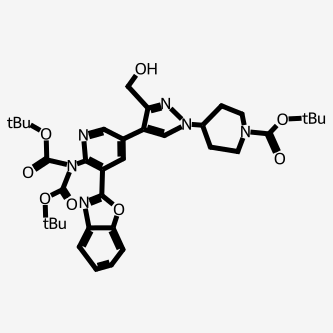 CC(C)(C)OC(=O)N1CCC(n2cc(-c3cnc(N(C(=O)OC(C)(C)C)C(=O)OC(C)(C)C)c(-c4nc5ccccc5o4)c3)c(CO)n2)CC1